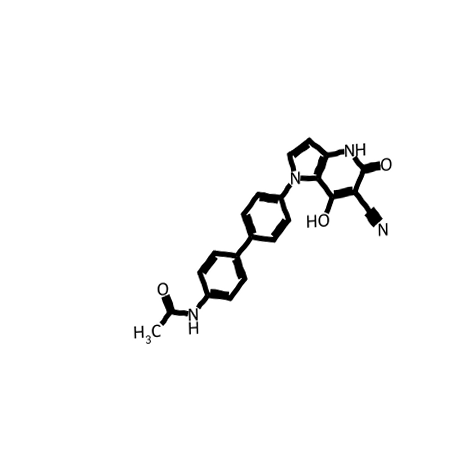 CC(=O)Nc1ccc(-c2ccc(-n3ccc4[nH]c(=O)c(C#N)c(O)c43)cc2)cc1